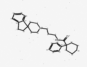 O=C(NCCCN1CCC2(CCc3ccccc32)CC1)C1(c2ccccc2)CCCCC1